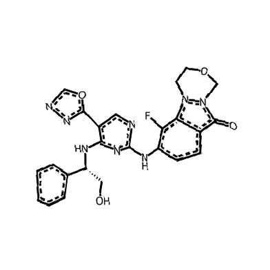 O=c1c2ccc(Nc3ncc(-c4nnco4)c(N[C@H](CO)c4ccccc4)n3)c(F)c2n2n1COCC2